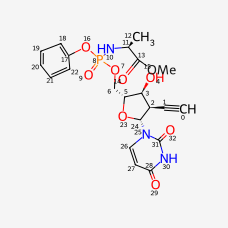 C#C[C@@H]1[C@H](O)[C@@H](COP(=O)(N[C@@H](C)C(=O)OC)Oc2ccccc2)O[C@H]1n1ccc(=O)[nH]c1=O